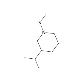 CSN1CCCC(C(C)C)C1